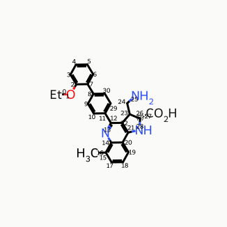 CCOc1ccccc1-c1ccc(-c2nc3c(C)cccc3c3c2C(CN)[C@H](C(=O)O)N3)cc1